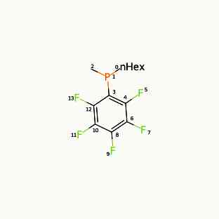 CCCCCCP(C)c1c(F)c(F)c(F)c(F)c1F